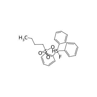 CCCCS(=O)(=O)O[SH](F)(c1ccccc1)(c1ccccc1)c1ccccc1